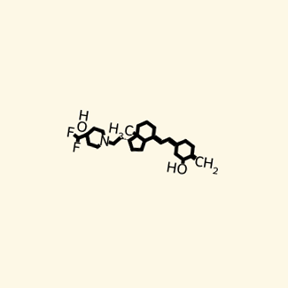 C=C1CC/C(=C/C=C2\CCCC3(C)C2CC[C@@H]3CCN2CCC(O)(C(F)F)CC2)CC1O